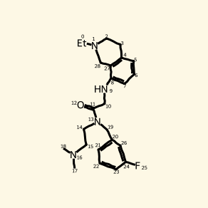 CCN1CCc2cccc(NCC(=O)N(CCN(C)C)Cc3cccc(F)c3)c2C1